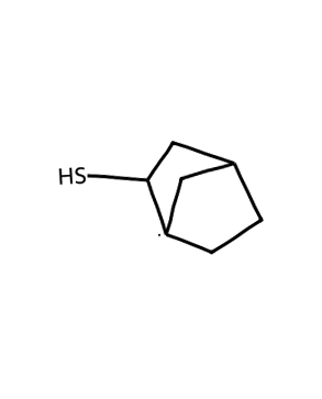 SC1CC2CC[C]1C2